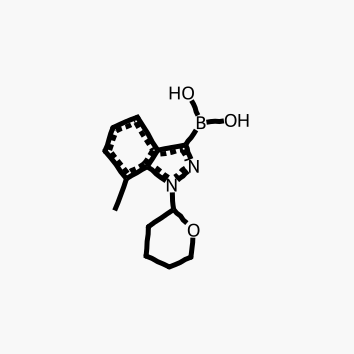 Cc1cccc2c(B(O)O)nn(C3CCCCO3)c12